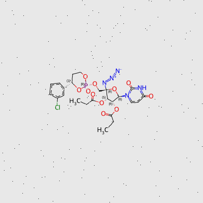 CCC(=O)O[C@H]1[C@H](n2ccc(=O)[nH]c2=O)O[C@@](CO[P@@]2(=O)OCC[C@@H](c3cccc(Cl)c3)O2)(N=[N+]=[N-])[C@H]1OC(=O)CC